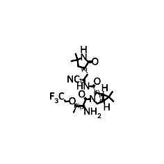 C[C@@H](OCC(F)(F)F)[C@H](N)C(=O)N1C[C@H]2[C@@H]([C@H]1C(=O)N[C@H](C#N)C[C@@H]1CC(C)(C)NC1=O)C2(C)C